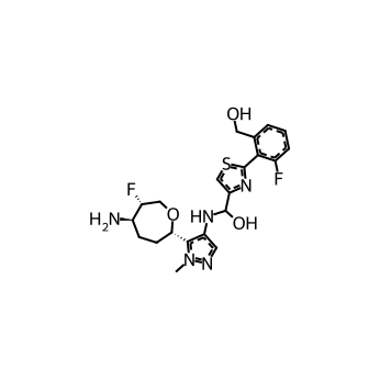 Cn1ncc(NC(O)c2csc(-c3c(F)cccc3CO)n2)c1[C@@H]1CC[C@@H](N)[C@H](F)CO1